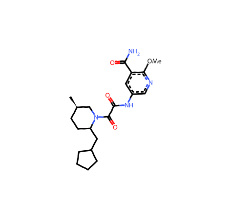 COc1ncc(NC(=O)C(=O)N2C[C@H](C)CCC2CC2CCCC2)cc1C(N)=O